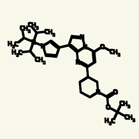 COc1cc(C2CCCN(C(=O)OC(C)(C)C)C2)nc2c(-c3ccn([Si](C(C)C)(C(C)C)C(C)C)c3)cnn12